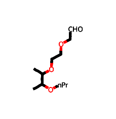 CCCOC(C)C(C)OCCOCC=O